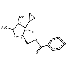 CC(=O)OC1O[C@H](COC(=O)c2ccccc2)[C@](O)(C2CC2)[C@H]1OC(C)=O